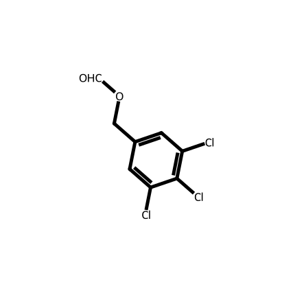 O=COCc1cc(Cl)c(Cl)c(Cl)c1